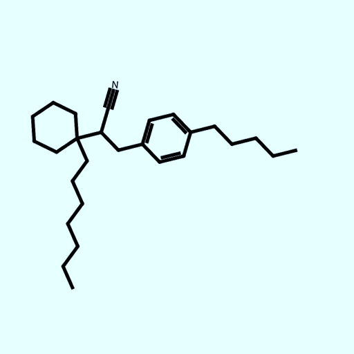 CCCCCCCC1(C(C#N)Cc2ccc(CCCCC)cc2)CCCCC1